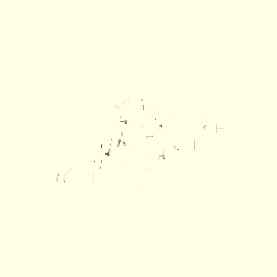 N#CCNC(=O)[C@@H]1CCCC[C@@]1(C(N)=O)c1c(C(=O)O)n(CCCO)c2ccccc12